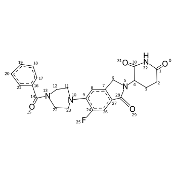 O=C1CCC(N2Cc3cc(N4CCN(C(=O)c5ccccc5)CC4)c(F)cc3C2=O)C(=O)N1